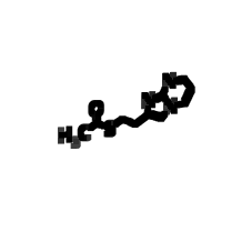 CC(=O)SCCc1cn2cccnc2n1